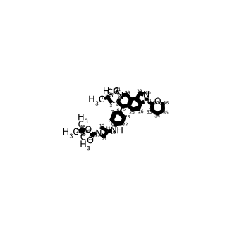 CC(C)C[C@H]1[C@H](c2ccc(NC3CN(C(=O)OC(C)(C)C)C3)cc2)c2ccc3c(cnn3C3CCCCO3)c2CN1C